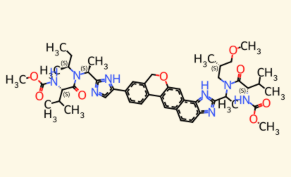 CC[C@H](C)N(C(=O)[C@@H](NC(=O)OC)C(C)C)[C@@H](C)c1ncc(-c2ccc3c(c2)COc2cc4c(ccc5nc(C(C)N(C[C@H](C)COC)C(=O)[C@@H](NC(=O)OC)C(C)C)[nH]c54)cc2-3)[nH]1